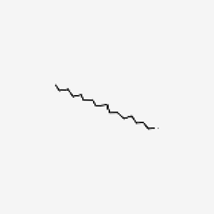 [CH2]CCCCCCCCCCCCCC[CH]C